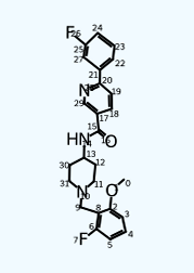 COc1cccc(F)c1CN1CCC(NC(=O)c2ccc(-c3cccc(F)c3)nc2)CC1